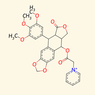 COc1cc(C2c3cc4c(cc3C(OC(=O)C[n+]3ccccc3)C3COC(=O)C23)OCO4)cc(OC)c1OC